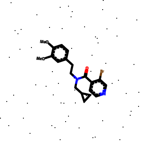 COc1ccc(CCN(CC2CC2)C(=O)c2ccncc2Br)cc1OC